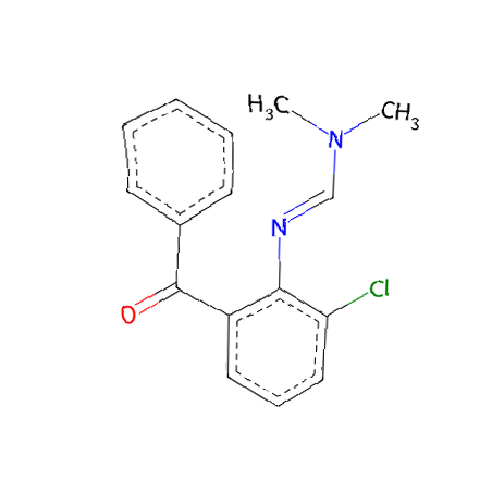 CN(C)C=Nc1c(Cl)cccc1C(=O)c1ccccc1